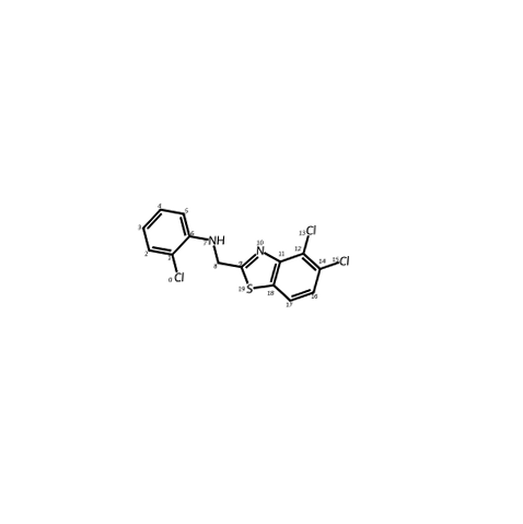 Clc1ccccc1NCc1nc2c(Cl)c(Cl)ccc2s1